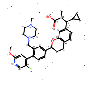 COc1cc(-c2ccc(C3CCc4ccc([C@H](C5CC5)[C@H](C)C(=O)O)cc4O3)cc2CN2CCN(C)CC2)c(F)cn1